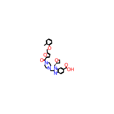 Cc1ccccc1OCc1ccc(C(=O)N2CCN(Cc3nc4ccc(C(=O)O)cc4n3C[C@@H]3CCO3)CC2)o1